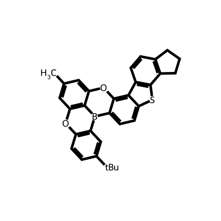 Cc1cc2c3c(c1)Oc1c(ccc4sc5c6c(ccc5c14)CCC6)B3c1cc(C(C)(C)C)ccc1O2